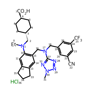 CCN(C[C@H]1CC[C@H](C(=O)O)CC1)c1cc2c(cc1CN(Cc1cc(C#N)cc(C(F)(F)F)c1)c1nnn(C)n1)CCC2.Cl